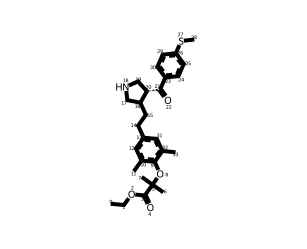 CCOC(=O)C(C)(C)Oc1c(C)cc(CCC2CNC[C@@H]2C(=O)c2ccc(SC)cc2)cc1C